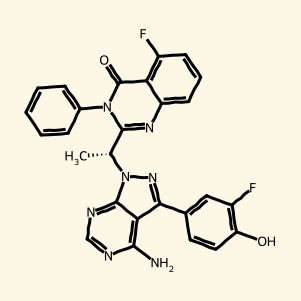 C[C@H](c1nc2cccc(F)c2c(=O)n1-c1ccccc1)n1nc(-c2ccc(O)c(F)c2)c2c(N)ncnc21